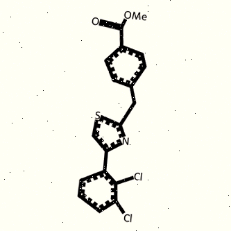 COC(=O)c1ccc(Cc2nc(-c3cccc(Cl)c3Cl)cs2)cc1